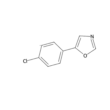 Clc1[c]cc(-c2cnco2)cc1